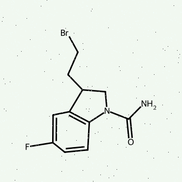 NC(=O)N1CC(CCBr)c2cc(F)ccc21